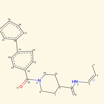 C=C(N/C=C\C)C1CCN(C(=O)c2ccc(-c3ccccc3)cc2)CC1